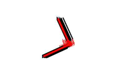 O=[Si](O)O.O=[Si](O)O.O=[Si](O)O.O=[Si](O)O.O=[Si](O)O.O=[Si](O)O.O=[Si](O)O.O=[Si](O)O.[Na+].[Na+].[Na+].[Na+].[Na+].[Na+].[Na+].[Na+].[Na+].[Na+].[Na+].[Na+].[Na+].[Na+].[Na+].[Na+].[Na+].[Na+].[Na+].[Na+].[Na+].[Na+].[Na+].[Na+].[Na+].[Na+].[Na+].[Na+].[Na+].[Na+].[Na+].[Na+].[Na+].[Na+].[Na+].[Na+].[Na+].[Na+].[Na+].[Na+].[Na+].[Na+].[Na+].[Na+].[Na+].[Na+].[Na+].[Na+].[Na+].[Na+].[Na+].[Na+].[Na+].[Na+].[Na+].[Na+].[Na+].[Na+].[Na+].[Na+].[Na+].[Na+].[Na+].[Na+].[Na+].[Na+].[Na+].[Na+].[Na+].[Na+].[Na+].[Na+].[Na+].[Na+].[Na+].[Na+].[Na+].[Na+].[Na+].[Na+].[Na+].[Na+].[Na+].[Na+].[Na+].[Na+].[Na+].[Na+].[Na+].[Na+].[Na+].[Na+].[Na+].[Na+].[Na+].[Na+].[Na+].[Na+].[Na+].[Na+].[Na+].[Na+].[Na+].[Na+].[Na+].[Na+].[Na+].[Na+].[Na+].[Na+].[Na+].[Na+].[Na+]